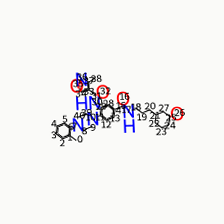 Cc1ccccc1N1CCN(c2ccc(C(=O)NCCCC3CCCC(=O)C3)cc2NC(=O)c2conc2C)CC1